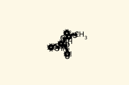 COCc1ccc(C(=O)Nc2ccc([S+]([O-])Cc3ccccc3)nc2C(=O)NCC2CCOCC2)c2ccccc12